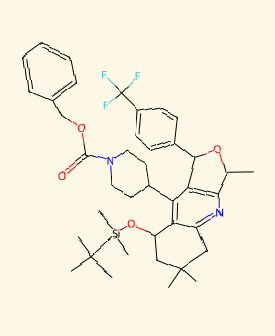 CC1OC(c2ccc(C(F)(F)F)cc2)c2c1nc1c(c2C2CCN(C(=O)OCc3ccccc3)CC2)C(O[Si](C)(C)C(C)(C)C)CC(C)(C)C1